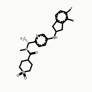 CN(C(=O)C1CCS(=O)(=O)CC1)[C@@H](c1ccc(NC2Cc3ccc(F)c(F)c3C2)cn1)C(F)(F)F